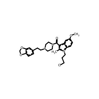 COc1ccc2c(c1)c(C(=O)N1CCN(CCc3ccc4c(c3)OCO4)CC1)c(C)n2CCCCl